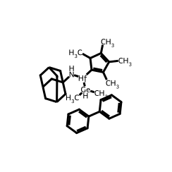 CC1=C(C)C(C)[C]([Hf]([NH]C23CC4CC(CC(C4)C2)C3)[GeH]([CH3])[CH3])=C1C.c1ccc(-c2ccccc2)cc1